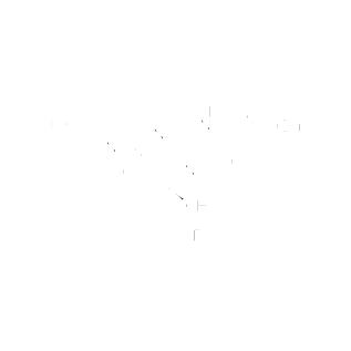 CC(C)(C)OC(=O)NC1=N[C@](C)(c2ccccc2F)CS2(=O)=N[C@H](C(F)(F)F)CCCN12